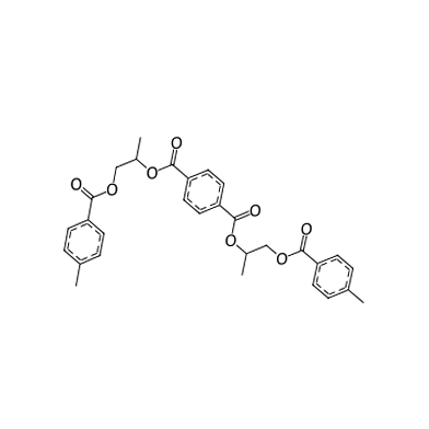 Cc1ccc(C(=O)OCC(C)OC(=O)c2ccc(C(=O)OC(C)COC(=O)c3ccc(C)cc3)cc2)cc1